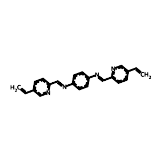 C=Cc1ccc(C=Nc2ccc(N=Cc3ccc(C=C)cn3)cc2)nc1